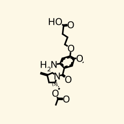 C=C1C[C@@H](COC(C)=O)N(C(=O)c2cc(OC)c(OCCCC(=O)O)cc2N)C1